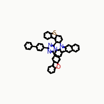 c1ccc(-c2ccc(-c3nc(-c4ccc5oc6ccccc6c5c4)nc(-c4c(-n5c6ccccc6c6cc7ccccc7cc65)ccc5sc6ccccc6c45)n3)cc2)cc1